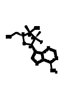 C[C@]1(O)[C@@H](CO)O[C@H](n2cnc3c(N)ncnc32)[C@]1(C)F